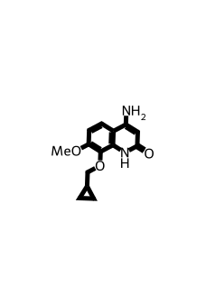 COc1ccc2c(N)cc(=O)[nH]c2c1OCC1CC1